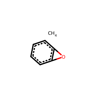 C.c1ccc2c(c1)O2